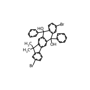 CC1(C)c2cc(Br)ccc2-c2cc3c(cc21)C(O)(c1ccccc1)c1ccc(Br)cc1C3(O)c1ccccc1